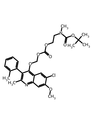 COc1cc2nc(C)c(-c3ccccc3C)c(OCOC(=O)OCCN(C)C(=O)OC(C)(C)C)c2cc1Cl